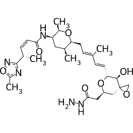 CC(/C=C/[C@H]1O[C@H](CC(=O)NN)C[C@@]2(CO2)[C@@H]1O)=C\C[C@@H]1O[C@H](C)[C@H](NC(=O)/C=C\[C@H](C)c2noc(C)n2)C[C@@H]1C